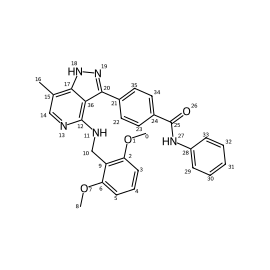 COc1cccc(OC)c1CNc1ncc(C)c2[nH]nc(-c3ccc(C(=O)Nc4ccccc4)cc3)c12